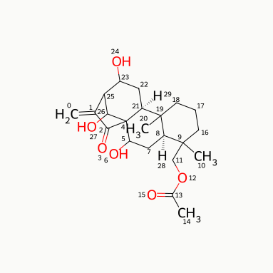 C=C1C(=O)C23C(O)C[C@@H]4C(C)(COC(C)=O)CCCC4(C)[C@@H]2CC(O)C1C3O